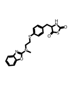 CN(CCSc1ccc(CC2NC(=O)SC2=O)cc1)c1nc2ccccc2o1